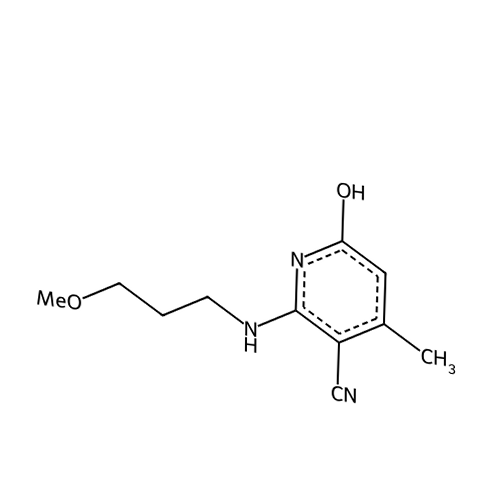 COCCCNc1nc(O)cc(C)c1C#N